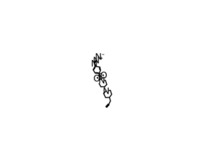 C#CCC1CCN(C2CCN(S(=O)(=O)c3ccc(N=[N+]=[N-])cc3)CC2)CC1